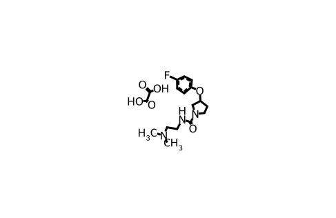 CN(C)CCNC(=O)N1CCC(Oc2ccc(F)cc2)C1.O=C(O)C(=O)O